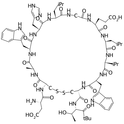 CC(C)C[C@@H]1NC(=O)[C@H](Cc2c[nH]cn2)NC(=O)[C@H](Cc2c[nH]c3ccccc23)NC(=O)[C@H](C)NC(=O)[C@@H](NC(=O)[C@@H](N)CC(=O)O)CSSC[C@@H](C(=O)N[C@H](C(=O)C(C)(C)C)[C@@H](C)O)NC(=O)[C@H](Cc2c[nH]c3ccccc23)NC(=O)[C@H](C(C)C)NC(=O)[C@H](CC(C)C)NC(=O)[C@H](CCC(=O)O)NC(=O)CNC1=O